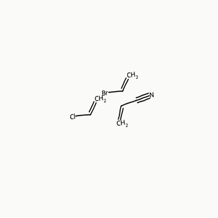 C=CBr.C=CC#N.C=CCl